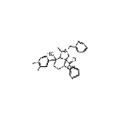 Cc1ccc(C2(O)CCC(c3ccccc3)C3(C(=O)O)CN(Cc4ccccc4)C(C)C23)cc1C